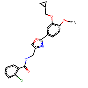 COc1ccc(-c2nc(CNC(=O)c3ccccc3Cl)co2)cc1OCC1CC1